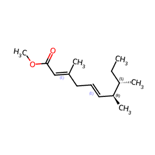 CC[C@H](C)[C@@H](C)/C=C/C/C(C)=C/C(=O)OC